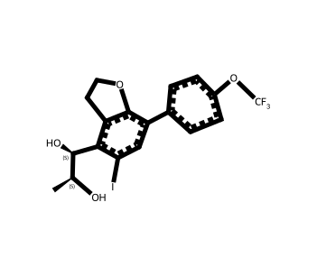 C[C@H](O)[C@@H](O)c1c(I)cc(-c2ccc(OC(F)(F)F)cc2)c2c1CCO2